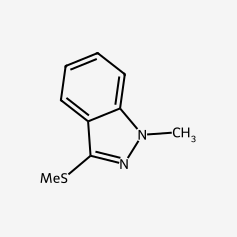 CSc1nn(C)c2ccccc12